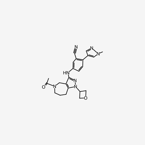 CC(=O)N1CCCc2c(c(Nc3ccc(-c4cnn(C)c4)c(C#N)c3)nn2C2COC2)C1